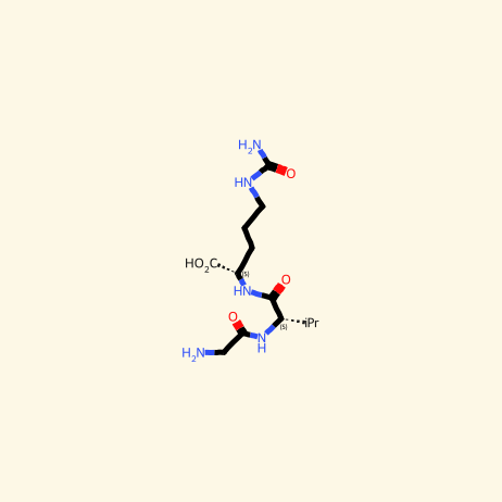 CC(C)[C@H](NC(=O)CN)C(=O)N[C@@H](CCCNC(N)=O)C(=O)O